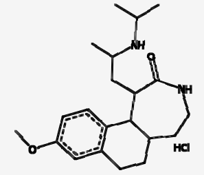 COc1ccc2c(c1)CCC1CCNC(=O)C(CC(C)NC(C)C)C21.Cl